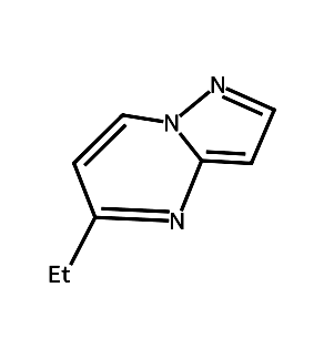 CCc1ccn2nccc2n1